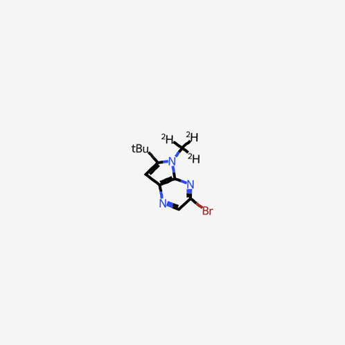 [2H]C([2H])([2H])n1c(C(C)(C)C)cc2ncc(Br)nc21